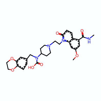 CNC(=O)c1cc(OC)cc2c1ccc(=O)n2CCN1CCC(N(Cc2ccc3c(c2)OCCO3)C(=O)O)CC1